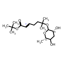 C[C@@H]1OC(OC(C)(C)CC/C=C/C(=O)OC(C)(C)C)[C@H](O)CC1O